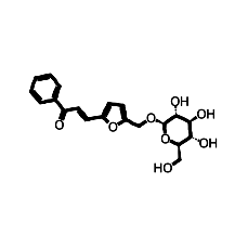 O=C(C=Cc1ccc(CO[C@@H]2O[C@H](CO)[C@@H](O)[C@H](O)[C@H]2O)o1)c1ccccc1